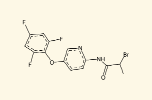 CC(Br)C(=O)Nc1ccc(Oc2c(F)cc(F)cc2F)cn1